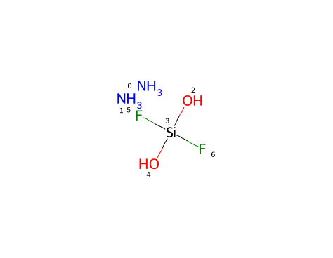 N.N.O[Si](O)(F)F